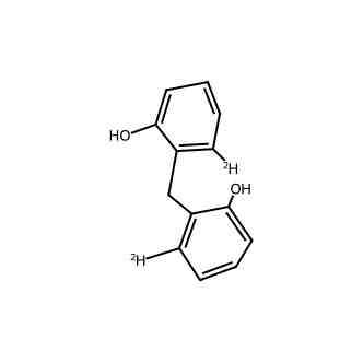 [2H]c1cccc(O)c1Cc1c([2H])cccc1O